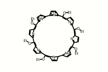 CCO/C1=C2\C=CC(=N2)/C(OCC)=C2/C=CC(N2)C2C=C/C(=C(\OCC)C3=N/C(=C(/OCC)C4=N/C(=C(/OCC)c5ccc([nH]5)-c5ccc([nH]5)/C(OCC)=C5/C=CC1=N5)C=C4)C=C3)N2